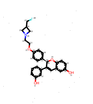 Oc1cccc(C2=Cc3cc(O)ccc3O[C@@H]2c2ccc(OCCN3CC(CF)C3)cc2)c1